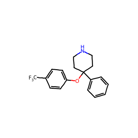 FC(F)(F)c1ccc(OC2(c3ccccc3)CCNCC2)cc1